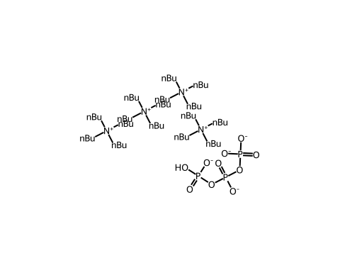 CCCC[N+](CCCC)(CCCC)CCCC.CCCC[N+](CCCC)(CCCC)CCCC.CCCC[N+](CCCC)(CCCC)CCCC.CCCC[N+](CCCC)(CCCC)CCCC.O=P([O-])([O-])OP(=O)([O-])OP(=O)([O-])O